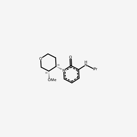 CO[C@@H]1COCC[C@@H]1n1cccc(NC(C)C)c1=O